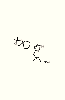 CNCCN(C)Cc1c[nH]nc1[C@H]1CC[C@@]2(CC1)COC(C)(C)C2